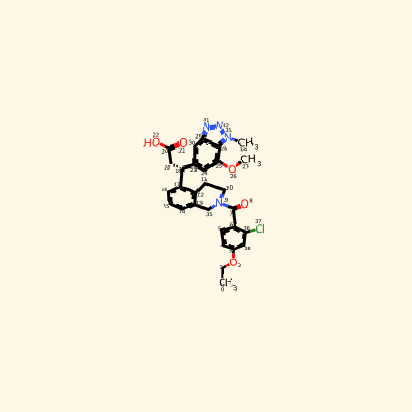 CCOc1ccc(C(=O)N2CCc3c(cccc3[C@H](CC(=O)O)c3cc(OC)c4c(c3)nnn4C)C2)c(Cl)c1